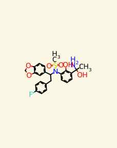 CC(N)(O)c1cccc(N(C(Cc2ccc(F)cc2)c2ccc3c(c2)OCO3)S(C)(=O)=O)c1O